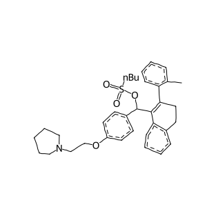 CCCCS(=O)(=O)OC(C1=C(c2ccccc2C)CCc2ccccc21)c1ccc(OCCN2CCCCC2)cc1